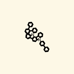 c1ccc(-c2ccc(-n3c4ccccc4c4c3ccc3c5ccccc5n(-c5ccccc5-c5ccccc5-c5ccccc5)c34)cc2)cc1